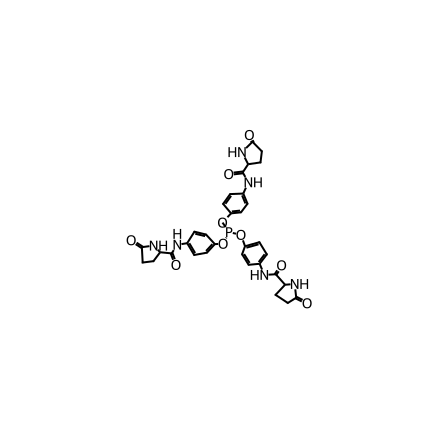 O=C1CCC(C(=O)Nc2ccc(OP(Oc3ccc(NC(=O)C4CCC(=O)N4)cc3)Oc3ccc(NC(=O)C4CCC(=O)N4)cc3)cc2)N1